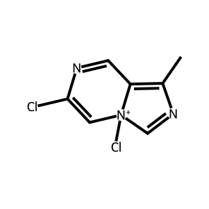 CC1=C2C=NC(Cl)=C[N+]2(Cl)C=N1